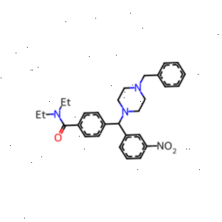 CCN(CC)C(=O)c1ccc(C(c2cccc([N+](=O)[O-])c2)N2CCN(Cc3ccccc3)CC2)cc1